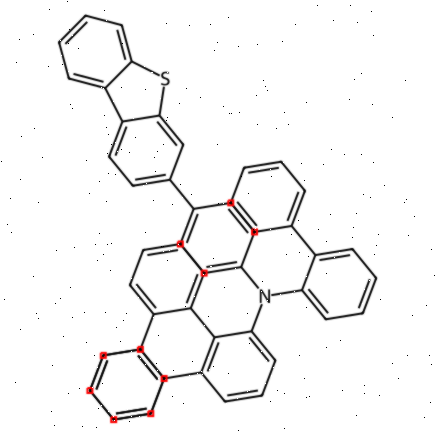 c1ccc(-c2ccccc2-c2c(-c3ccccc3)cccc2N(c2ccc(-c3ccc4c(c3)sc3ccccc34)cc2)c2ccccc2-c2ccccc2)cc1